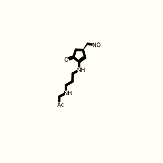 CC(=O)CNCCCNC1=C[C@H](CN=O)CC1=O